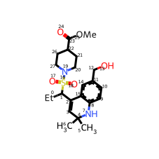 CCC(C1=CC(C)(C)Nc2ccc(CO)cc21)S(=O)(=O)N1CCC(C(=O)OC)CC1